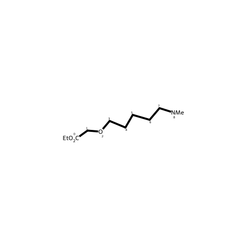 CCOC(=O)COCCCCCNC